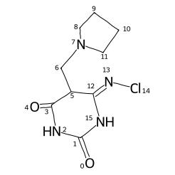 O=C1NC(=O)C(CN2CCCC2)C(=NCl)N1